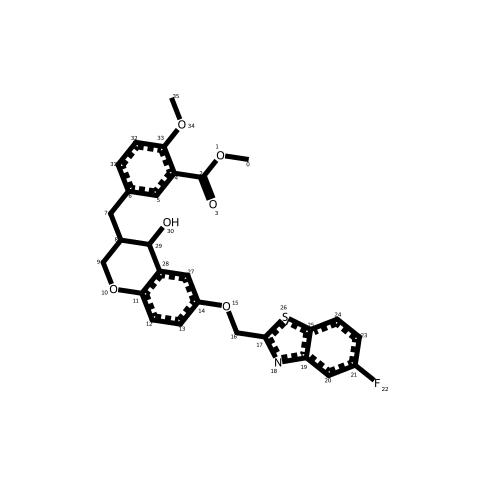 COC(=O)c1cc(CC2COc3ccc(OCc4nc5cc(F)ccc5s4)cc3C2O)ccc1OC